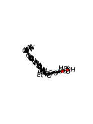 CC[C@@H]([C@H](C)OC(=O)OCCOCCOCCOP(=O)(O)O)n1ncn(-c2ccc(N3CCN(c4ccc(OC[C@@H]5CO[C@](C)(Cn6cncn6)C5)cc4)CC3)cc2)c1=O